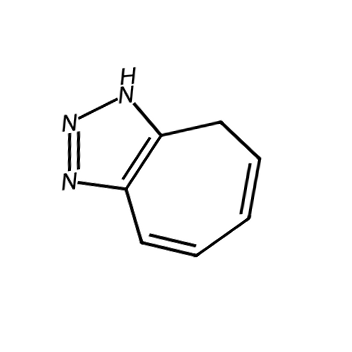 C1=CCc2[nH]nnc2C=C1